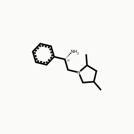 CC1CC(C)N(C[C@@H](N)c2ccccc2)C1